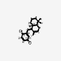 CC1=CCC2C(C)(C)CCCC2(C)C1CC1=CC(=O)C=CC1=O